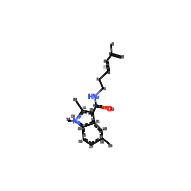 C=C(C)/C=C/CCNC(=O)c1c(C)n(C)c2ccc(C)cc12